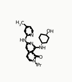 Cc1ccnc(Nc2cc3ccn(C(C)C)c(=O)c3c(N[C@H]3CC[C@H](O)CC3)n2)c1